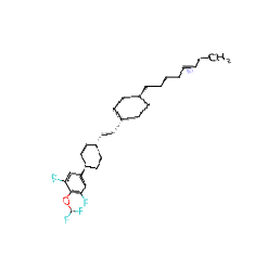 CC/C=C/CCCC[C@H]1CC[C@H](CC[C@H]2CC[C@H](c3cc(F)c(OC(F)F)c(F)c3)CC2)CC1